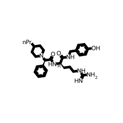 CCCC1CCN([C@@H](C(=O)N[C@H](CCCNC(=N)N)C(=O)NCc2ccc(O)cc2)c2ccccc2)CC1